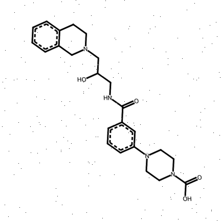 O=C(NCC(O)CN1CCc2ccccc2C1)c1cccc(N2CCN(C(=O)O)CC2)c1